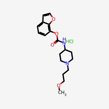 COCCCN1CCC(NC(=O)Oc2cccc3ccoc23)CC1.Cl